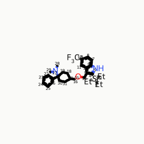 CC[Si](CC)(CC)c1[nH]c2ccc(C(F)(F)F)cc2c1COCC1CCC(c2ccccc2)(N(C)C)CC1